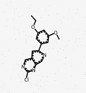 CCOc1cc(OC)cc(-c2cc3cnc(Cl)nc3cn2)c1